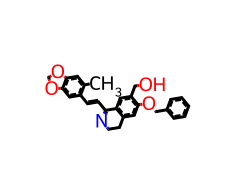 Cc1cc2c(cc1/C=C/C1=NCCc3cc(OCc4ccccc4)c(CO)cc31)OCO2